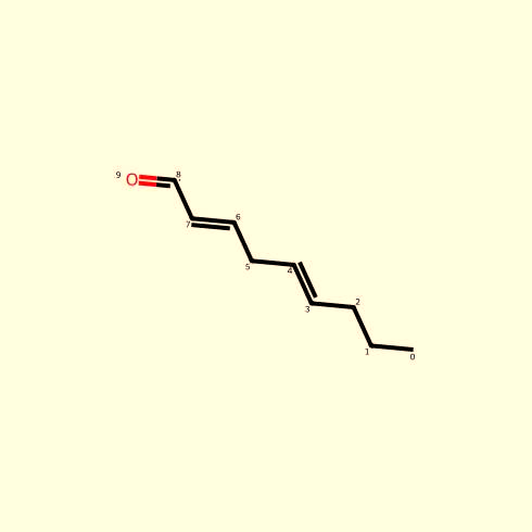 CCC/C=C/C/C=C/[C]=O